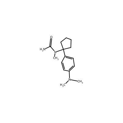 CN(C)c1ccc(C2(N(C)C(N)=O)CCCC2)cc1